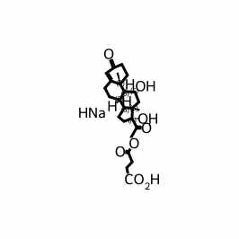 C[C@]12CCC(=O)C=C1CC[C@@H]1[C@@H]2[C@@H](O)C[C@@]2(C)[C@H]1CC[C@]2(O)C(=O)COC(=O)CCC(=O)O.[NaH]